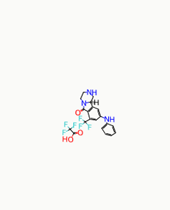 O=C(O)C(F)(F)F.O=C1c2c(cc(Nc3ccccc3)cc2C(F)(F)F)[C@@H]2CNCCN12